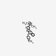 Cc1noc(C)c1-c1cnc2nc(NCC3CCN(C)CC3)n(Cc3ccccc3)c2c1